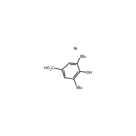 CC(C)(C)c1cc(C(=O)O)cc(C(C)(C)C)c1O.[Ni]